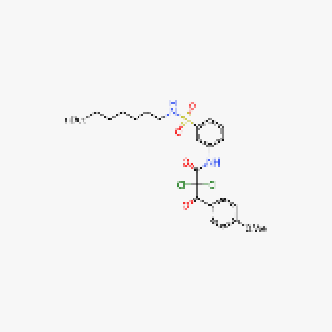 CCCCCCCCCCCCCCCCNS(=O)(=O)c1cccc(NC(=O)C(Cl)(Cl)C(=O)c2ccc(OC)cc2)c1